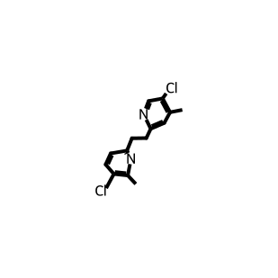 Cc1cc(CCc2ccc(Cl)c(C)n2)ncc1Cl